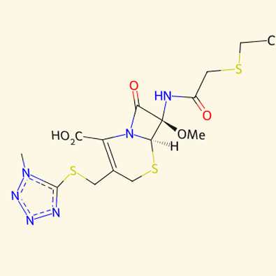 CO[C@]1(NC(=O)CSCC#N)C(=O)N2C(C(=O)O)=C(CSc3nnnn3C)CS[C@@H]21